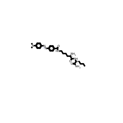 CCCC[C@H](NC(=O)[C@H](N)CCCCNC(=O)c1ccc(/N=N/c2ccc(N(C)C)cc2)cc1)C(N)=O